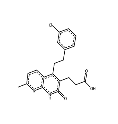 Cc1ccc2c(CCc3cccc(Cl)c3)c(CCC(=O)O)c(=O)[nH]c2n1